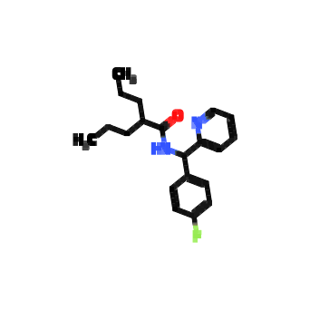 CCCC(CCC)C(=O)NC(c1ccc(F)cc1)c1ccccn1